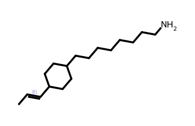 C/C=C/C1CCC(CCCCCCCCN)CC1